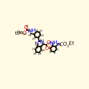 CCOC(=O)Cc1cccc(OC(=O)c2nc(-c3cccc(CNC(=O)OC(C)(C)C)c3)nc3ccccc23)c1N